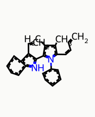 C=C/C=C\c1c(C)c(C)c(-c2[nH]c3ccccc3c2C=C)n1-c1ccccc1